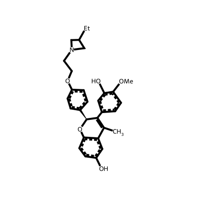 CCC1CN(CCOc2ccc([C@@H]3Oc4ccc(O)cc4C(C)=C3c3ccc(OC)c(O)c3)cc2)C1